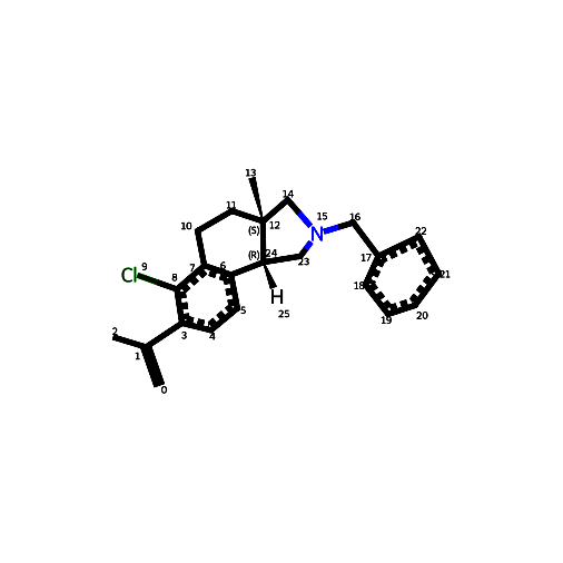 C=C(C)c1ccc2c(c1Cl)CC[C@]1(C)CN(Cc3ccccc3)C[C@H]21